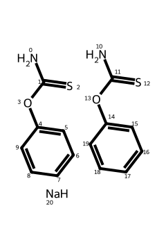 NC(=S)Oc1ccccc1.NC(=S)Oc1ccccc1.[NaH]